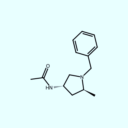 CC(=O)N[C@H]1C[C@H](C)N(Cc2ccccc2)C1